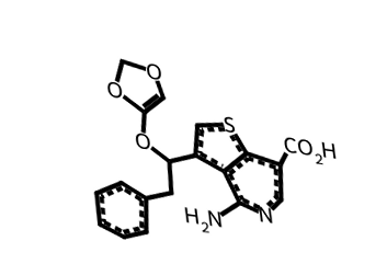 Nc1ncc(C(=O)O)c2scc(C(Cc3ccccc3)OC3=COCO3)c12